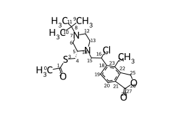 CC(=O)SC[C@@H]1CN(C(C)(C)C)CCN1CC(Cl)c1ccc2c(c1C)COC2=O